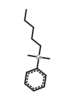 CCCC[CH2][Ge]([CH3])([CH3])[c]1ccccc1